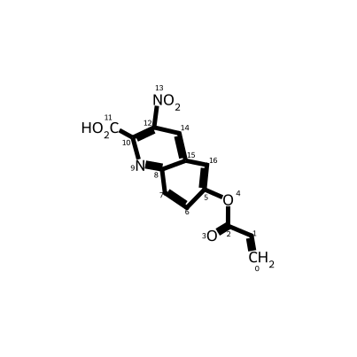 C=CC(=O)Oc1ccc2nc(C(=O)O)c([N+](=O)[O-])cc2c1